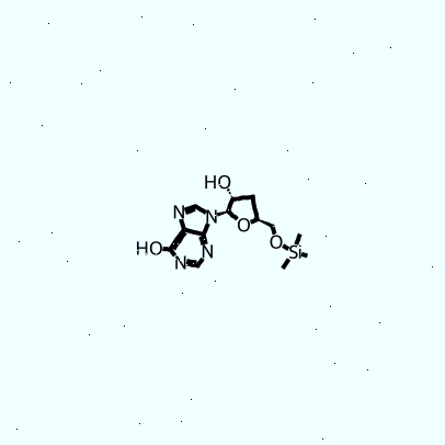 C[Si](C)(C)OC[C@@H]1C[C@@H](O)[C@H](n2cnc3c(O)ncnc32)O1